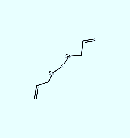 C=CC[Se]S[Se]CC=C